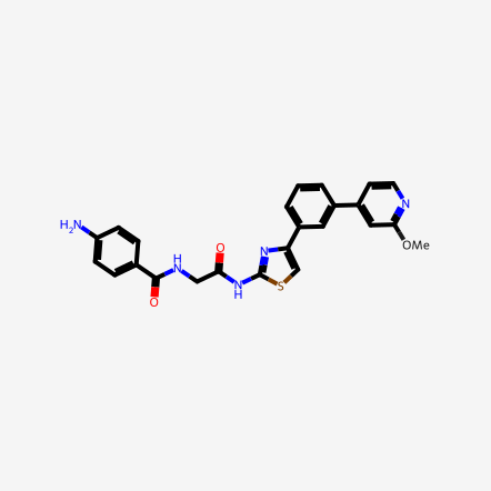 COc1cc(-c2cccc(-c3csc(NC(=O)CNC(=O)c4ccc(N)cc4)n3)c2)ccn1